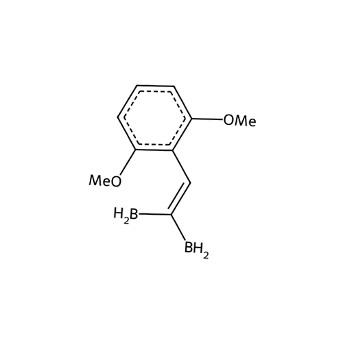 BC(B)=Cc1c(OC)cccc1OC